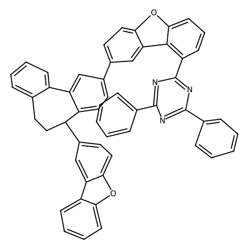 c1ccc(-c2nc(-c3ccccc3)nc(-c3cccc4oc5ccc(-c6ccc7c(c6)-c6ccccc6CCC7c6ccc7oc8ccccc8c7c6)cc5c34)n2)cc1